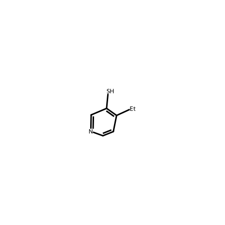 CCc1ccncc1S